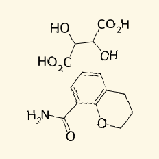 NC(=O)c1cccc2c1OCCC2.O=C(O)C(O)C(O)C(=O)O